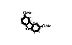 COc1ccc2oc3ccc(OC)cc3c2c1